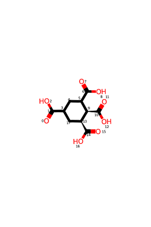 O=C(O)C1CC(C(=O)O)[C@@H](C(=O)O)[C@@H](C(=O)O)C1